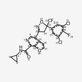 O=C(NC1CC1)c1ncc(C2=NOC(c3cc(Cl)c(F)c(Cl)c3)(C(F)(F)F)C2)c2ccoc12